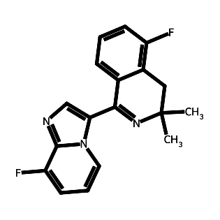 CC1(C)Cc2c(F)cccc2C(c2cnc3c(F)cccn23)=N1